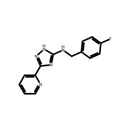 Fc1ccc(CNc2nc(-c3ccccn3)n[nH]2)cc1